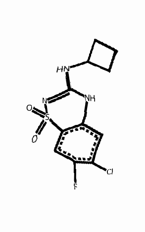 O=S1(=O)N=C(NC2CCC2)Nc2cc(Cl)c(F)cc21